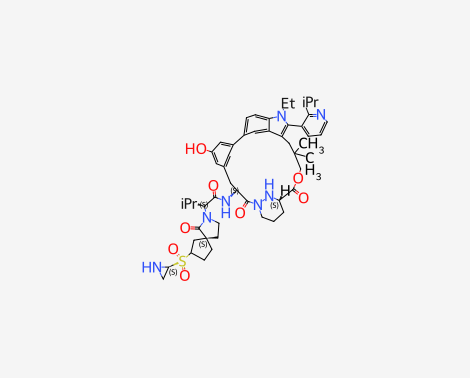 CCn1c(-c2cccnc2C(C)C)c2c3cc(ccc31)-c1cc(O)cc(c1)C[C@H](NC(=O)[C@H](C(C)C)N1CC[C@]3(CCC(S(=O)(=O)[C@H]4CN4)C3)C1=O)C(=O)N1CCC[C@H](N1)C(=O)OCC(C)(C)C2